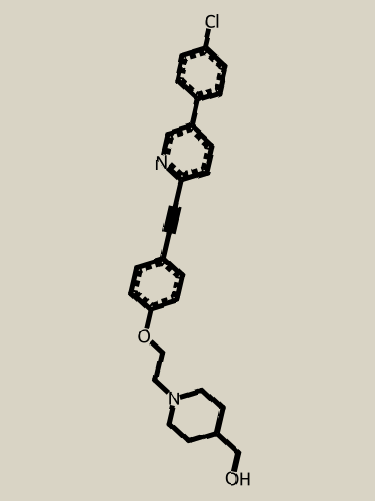 OCC1CCN(CCOc2ccc(C#Cc3ccc(-c4ccc(Cl)cc4)cn3)cc2)CC1